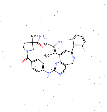 CNC1(C(N)=O)CCN(C(=O)c2ccc(Nc3ncc4c(n3)C(/C(C)=C(/C)N)=CC(c3c(F)cccc3F)=NC4)cc2)C1